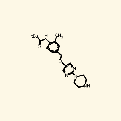 Cc1cc(COc2cnc(N3CCNCC3)nc2)ccc1NC(=O)C(C)(C)C